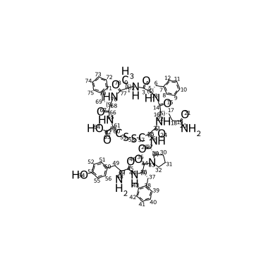 C[C@@H]1NC(=O)[C@H](Cc2ccccc2)NC(=O)[C@H](CCC(N)=O)NC(=O)[C@H](NC(=O)[C@@H]2CCCN2C(=O)[C@H](Cc2ccccc2)NC(=O)[C@@H](N)Cc2ccc(O)cc2)CSSC[C@@H](C(=O)O)NC(=O)[C@H](Cc2ccccc2)NC1=O